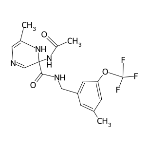 CC(=O)NC1(C(=O)NCc2cc(C)cc(OC(F)(F)F)c2)C=NC=C(C)N1